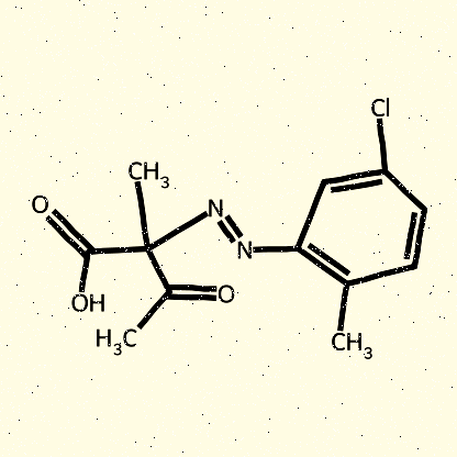 CC(=O)C(C)(N=Nc1cc(Cl)ccc1C)C(=O)O